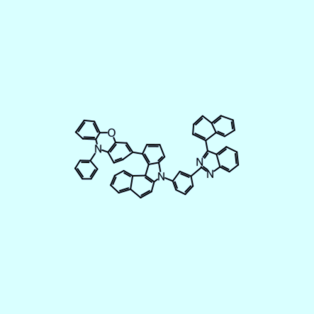 c1ccc(N2c3ccccc3Oc3cc(-c4cccc5c4c4c6ccccc6ccc4n5-c4cccc(-c5nc(-c6cccc7ccccc67)c6ccccc6n5)c4)ccc32)cc1